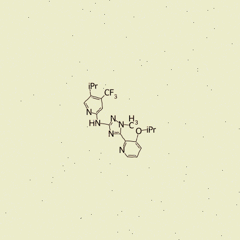 CC(C)Oc1cccnc1-c1nc(Nc2cc(C(F)(F)F)c(C(C)C)cn2)nn1C